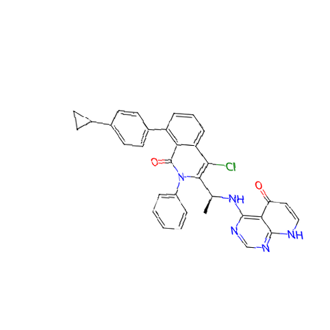 C[C@H](Nc1ncnc2[nH]ccc(=O)c12)c1c(Cl)c2cccc(-c3ccc(C4CC4)cc3)c2c(=O)n1-c1ccccc1